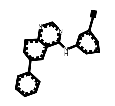 C#Cc1cccc(Nc2ncnc3ccc(-c4ccccc4)cc23)c1